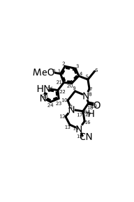 COc1ccc(C(C)CN2CCN3CCN(C#N)C[C@@H]3C2=O)cc1-c1ccn[nH]1